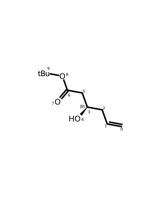 C=CC[C@@H](O)CC(=O)OC(C)(C)C